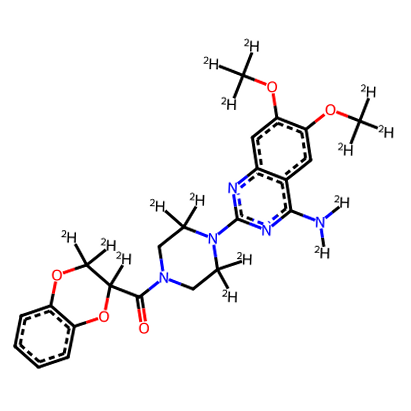 [2H]N([2H])c1nc(N2C([2H])([2H])CN(C(=O)C3([2H])Oc4ccccc4OC3([2H])[2H])CC2([2H])[2H])nc2cc(OC([2H])([2H])[2H])c(OC([2H])([2H])[2H])cc12